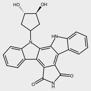 O=C1NC(=O)c2c1c1c3ccccc3[nH]c1c1c2c2ccccc2n1C1C[C@H](O)[C@@H](O)C1